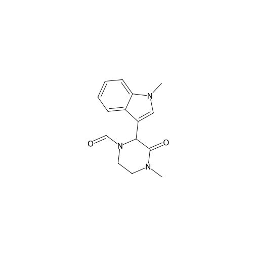 CN1CCN(C=O)C(c2cn(C)c3ccccc23)C1=O